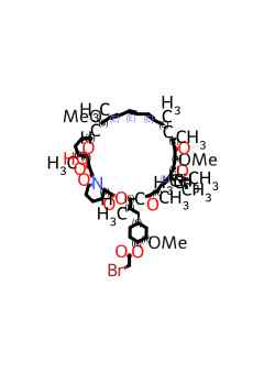 CO[C@H]1C[C@@H]2CC[C@@H](C)[C@@](O)(O2)C(=O)C(=O)N2CCCC[C@H]2C(=O)O[C@H]([C@H](C)C[C@@H]2CC[C@@H](OC(=O)CBr)[C@H](OC)C2)CC(=O)[C@H](C)/C=C(\C)[C@@H](O[Si](C)(C)C)[C@@H](OC)C(=O)[C@H](C)C[C@H](C)/C=C/C=C/C=C/1C